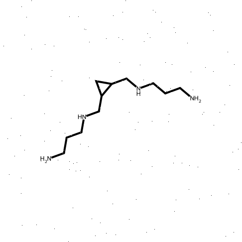 NCCCNCC1CC1CNCCCN